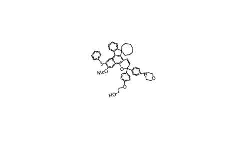 COc1cc2c3c(c4c(c2cc1Sc1ccccc1)-c1ccccc1C41CCCCCCC1)C=CC(c1ccc(OCCO)cc1)(c1ccc(N2CCOCC2)cc1)O3